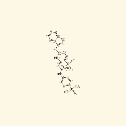 C/C=C(\C(=N/C(C)Nc1ccc(P(C)(C)=O)cc1)NCCc1c[nH]c2ccccc12)C(F)(F)F